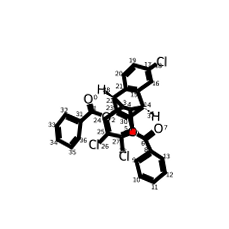 O=C(OC1C(OC(=O)c2ccccc2)[C@H]2c3cc(Cl)ccc3[C@H]1c1cc(Cl)c(Cl)cc12)c1ccccc1